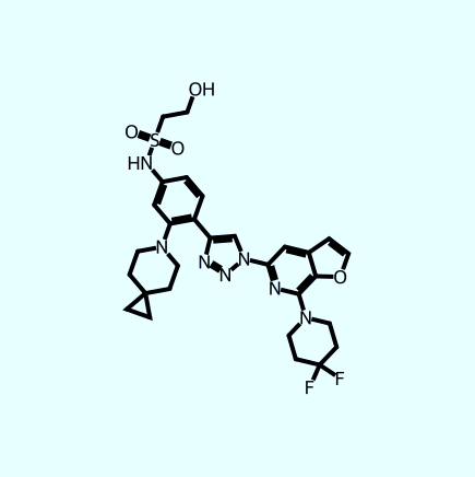 O=S(=O)(CCO)Nc1ccc(-c2cn(-c3cc4ccoc4c(N4CCC(F)(F)CC4)n3)nn2)c(N2CCC3(CC2)CC3)c1